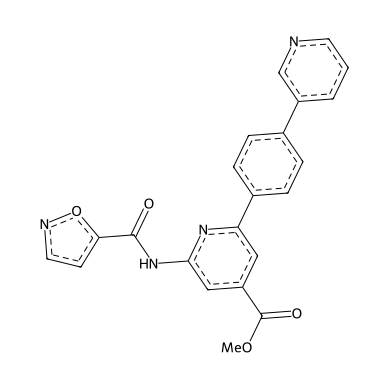 COC(=O)c1cc(NC(=O)c2ccno2)nc(-c2ccc(-c3cccnc3)cc2)c1